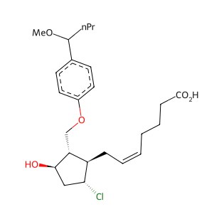 CCCC(OC)c1ccc(OC[C@@H]2[C@@H](C/C=C\CCCC(=O)O)[C@H](Cl)C[C@H]2O)cc1